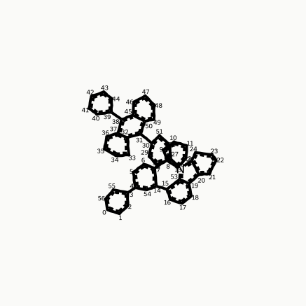 c1ccc(-c2ccc(-c3ccccc3)c(-c3cccc4c5ccccc5n(-c5ccc(-c6c7ccccc7c(-c7ccccc7)c7ccccc67)cc5)c34)c2)cc1